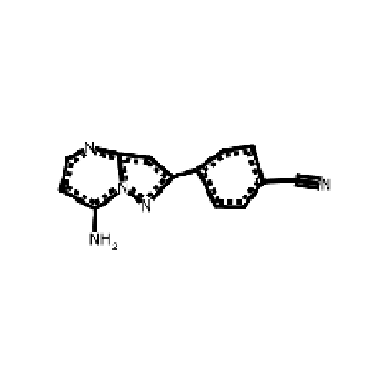 N#Cc1ccc(-c2cc3nccc(N)n3n2)cc1